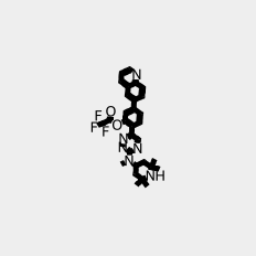 CN(c1ncc(-c2ccc(-c3ccc4ncccc4c3)cc2OC(=O)C(F)(F)F)nn1)C1CC(C)(C)NC(C)(C)C1